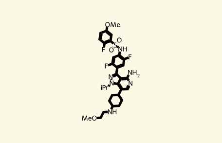 COCCNC1CCC(c2cnc(N)c3c(-c4cc(F)c(NS(=O)(=O)c5cc(OC)ccc5F)cc4F)nn(C(C)C)c23)CC1